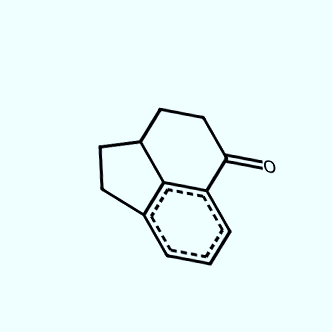 O=C1CCC2CCc3cccc1c32